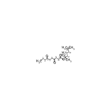 CCCC(=O)CCC(=O)CCC(=O)OC(C)(C)CCCC(C)C